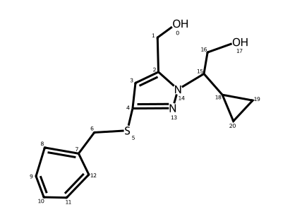 OCc1cc(SCc2ccccc2)nn1C(CO)C1CC1